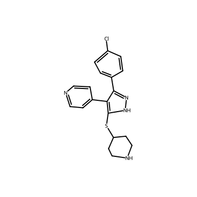 Clc1ccc(-c2n[nH]c(SC3CCNCC3)c2-c2ccncc2)cc1